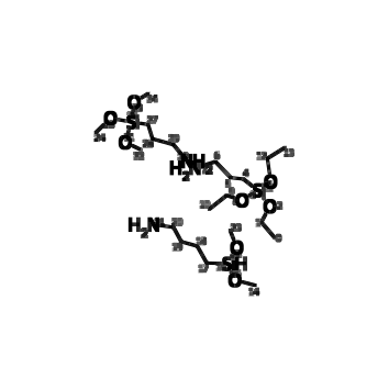 CCO[Si](CCCN)(OCC)OCC.CO[SiH](CCCCN)OC.CO[Si](CCCN)(OC)OC